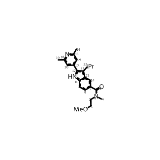 COCCN(C)C(=O)c1ccc2[nH]c(-c3cc(C)nc(C)c3)c(C(C)C)c2c1